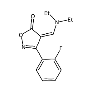 CCN(C=C1C(=O)ON=C1c1ccccc1F)CC